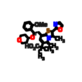 C=C1C(C(C)(C)C(=O)O)=CC(C[C@H](OC2CCOCC2)c2ccccc2OC)=C2SC(c3ncco3)=C(C)N12